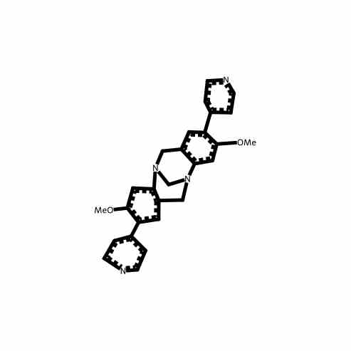 COc1cc2c(cc1-c1ccncc1)CN1CN2Cc2cc(-c3ccncc3)c(OC)cc21